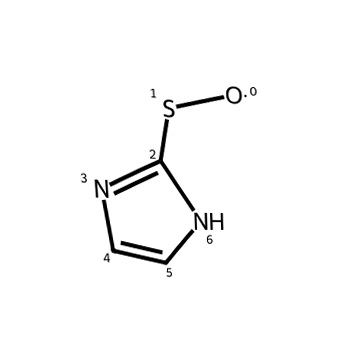 [O]Sc1ncc[nH]1